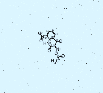 CC(=O)ON=C1C(=O)Nc2c(cccc2[N+](=O)[O-])C1=O